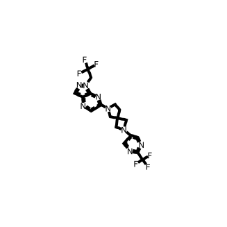 FC(F)(F)Cn1ncc2ncc(N3CCC4(CN(c5cnc(C(F)(F)F)nc5)C4)C3)nc21